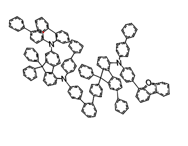 c1ccc(-c2ccc(N(c3ccc4c(c3)C(c3ccccc3)(c3ccccc3)c3cccc(N(c5ccc(-c6ccccc6)cc5)c5ccc(-c6ccccc6-c6ccc(C7(c8ccccc8)c8cc(-c9ccccc9)ccc8-c8c(N(c9ccc(-c%10ccccc%10)cc9)c9ccc(-c%10cccc%11c%10oc%10ccccc%10%11)cc9)cccc87)cc6)cc5)c3-4)c3ccccc3-c3ccccc3)cc2)cc1